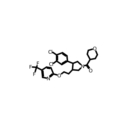 O=C(C1CCOCC1)N1CC(CCOc2ccc(C(F)(F)F)cn2)C(c2ccc(Cl)c(Cl)c2)C1